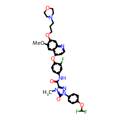 COc1cc2c(Oc3ccc(NC(=O)c4nn(-c5ccc(OC(F)F)cc5)c(=O)n4C)cc3F)ccnc2cc1OCCCN1CCOCC1